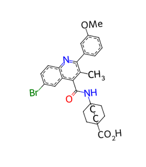 COc1cccc(-c2nc3ccc(Br)cc3c(C(=O)NC34CCC(C(=O)O)(CC3)CC4)c2C)c1